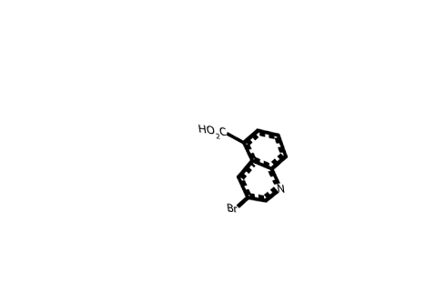 O=C(O)c1cccc2ncc(Br)cc12